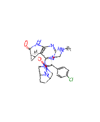 CC(C)NCC[C@@H](C(=O)N1C2CCC1CN(c1ncnc3c1C1C[C@H]1C(=O)N3)C2)c1ccc(Cl)cc1